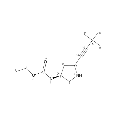 CCOC(=O)N[C@@H]1CNC(C#CC(C)(C)C)C1